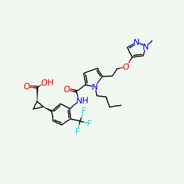 CCCCn1c(CCOc2cnn(C)c2)ccc1C(=O)Nc1cc([C@H]2C[C@H]2C(=O)O)ccc1C(F)(F)F